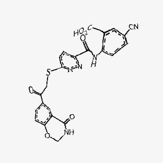 N#Cc1ccc(NC(=O)c2ccc(SCC(=O)c3ccc4c(c3)C(=O)NCO4)nn2)c(C(=O)O)c1